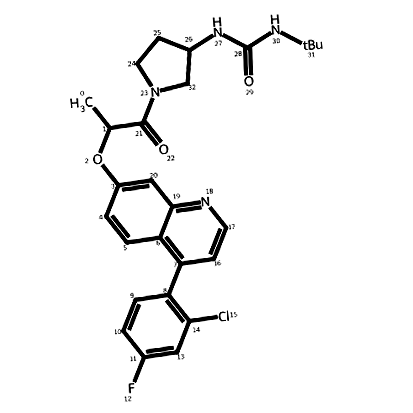 CC(Oc1ccc2c(-c3ccc(F)cc3Cl)ccnc2c1)C(=O)N1CCC(NC(=O)NC(C)(C)C)C1